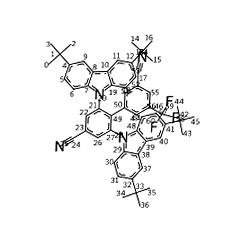 CC(C)(C)c1ccc2c(c1)c1cc(C(C)(C)C)ccc1n2-c1cc(C#N)cc(-n2c3ccc(C(C)(C)C)cc3c3cc(C(C)(C)C)ccc32)c1-c1cc(C#N)cc(C(F)(F)F)c1